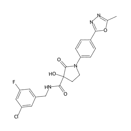 Cc1nnc(-c2ccc(N3CCC(O)(C(=O)NCc4cc(F)cc(Cl)c4)C3=O)cc2)o1